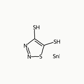 Sc1nnsc1S.[Sn]